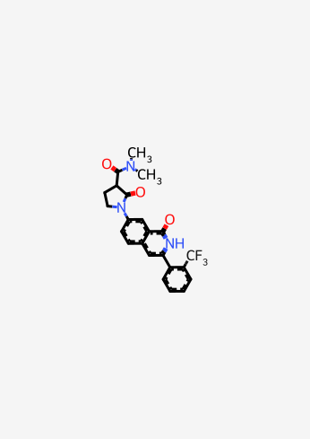 CN(C)C(=O)C1CCN(c2ccc3cc(-c4ccccc4C(F)(F)F)[nH]c(=O)c3c2)C1=O